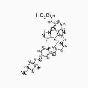 CCn1cncc1Cn1c(CN2CCC(Oc3cccc(OCc4ccc(C#N)cc4F)c3)CC2)nc2ccc(/C=C/C(=O)O)cc21